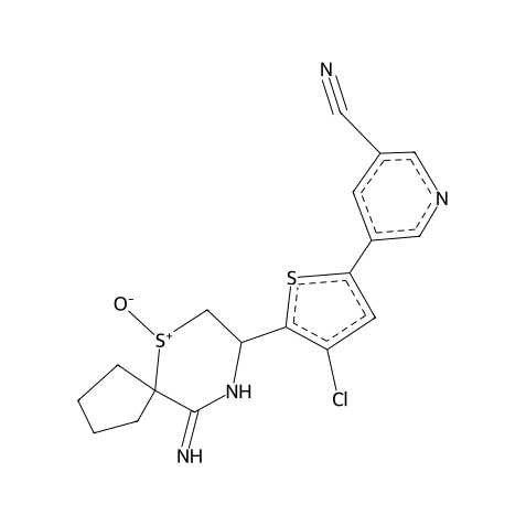 N#Cc1cncc(-c2cc(Cl)c(C3C[S+]([O-])C4(CCCC4)C(=N)N3)s2)c1